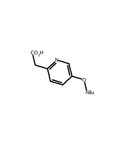 CCCCOc1ccc(CC(=O)O)nc1